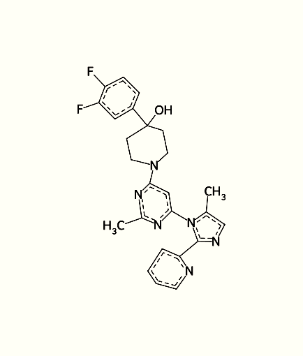 Cc1nc(N2CCC(O)(c3ccc(F)c(F)c3)CC2)cc(-n2c(C)cnc2-c2ccccn2)n1